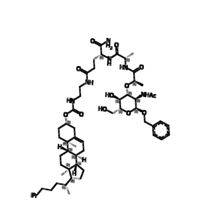 CC(=O)N[C@H]1[C@@H](OCc2ccccc2)O[C@H](CO)[C@@H](O)[C@@H]1O[C@H](C)C(=O)N[C@@H](C)C(=O)N[C@H](CCC(=O)NCCNC(=O)O[C@H]1CC[C@@]2(C)C(=CC[C@H]3[C@@H]4CC[C@H]([C@H](C)CCCC(C)C)[C@@]4(C)CC[C@@H]32)C1)C(N)=O